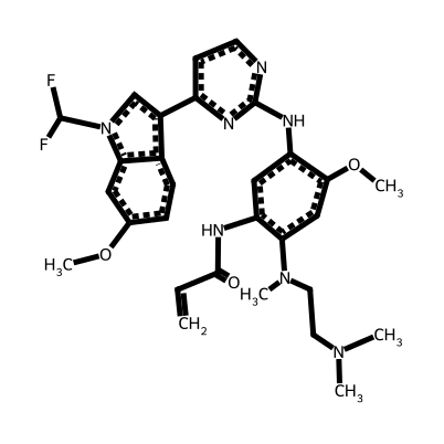 C=CC(=O)Nc1cc(Nc2nccc(-c3cn(C(F)F)c4cc(OC)ccc34)n2)c(OC)cc1N(C)CCN(C)C